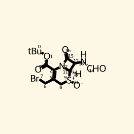 CC(C)(C)OC(=O)C1=C(CBr)C[S+]([O-])[C@@H]2C(NC=O)C(=O)N12